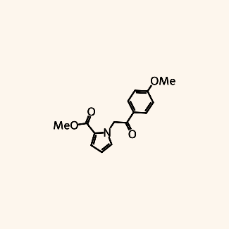 COC(=O)c1cccn1CC(=O)c1ccc(OC)cc1